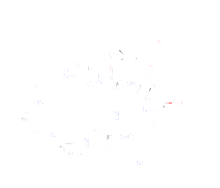 CC[C@H](C)[C@@H]1NC(=O)CNC(=O)[C@@H]2Cc3c([nH]c4ccccc34)S[C@H](NC(=O)[C@H]3CCCN3C1=O)C(=O)N[C@@H](CC(N)=O)C(=O)N1C[C@H](O)C[C@H]1C(=O)N[C@@H]([C@@H](C)[C@@H](O)CO)C(=O)N2